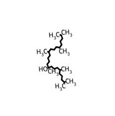 CC(C)CCCC(C)CCCC(C)CCCCC(C)(O)CCCC(C)CCCC(C)C